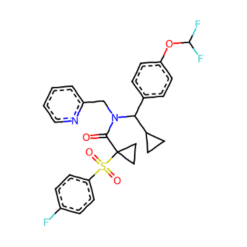 O=C(N(Cc1ccccn1)C(c1ccc(OC(F)F)cc1)C1CC1)C1(S(=O)(=O)c2ccc(F)cc2)CC1